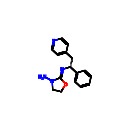 NN1CCO/C1=N\[C@H](Cc1ccncc1)c1ccccc1